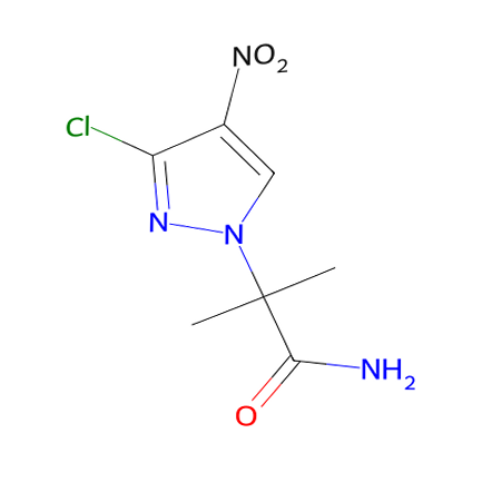 CC(C)(C(N)=O)n1cc([N+](=O)[O-])c(Cl)n1